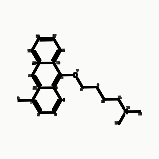 Cc1cccc2c(OCCCCN(C)C)c3ccccc3cc12